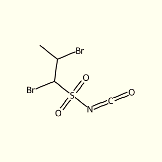 CC(Br)C(Br)S(=O)(=O)N=C=O